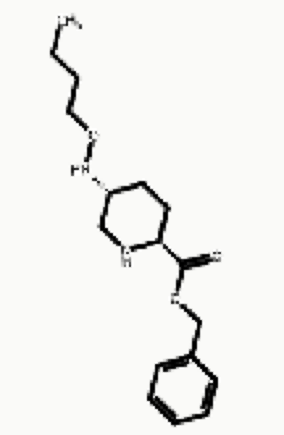 CCCCON[C@@H]1CC[C@@H](C(=O)OCc2ccccc2)NC1